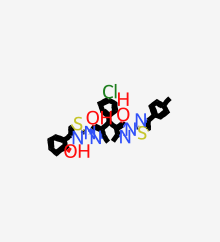 Cc1ccc(-c2csc(-n3nc(C)c(C(c4ccc(Cl)cc4)c4c(C)nn(-c5nc(-c6ccccc6O)cs5)c4O)c3O)n2)cc1